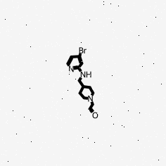 O=CCN1CCC(CNc2cc(Br)ccn2)CC1